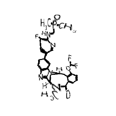 CN1C(=O)c2cccc(OC(F)F)c2[C@H]2C[C@@H]1c1nc3ccc(-c4cnc(NCP(C)(C)=O)c(F)c4)cc3n12